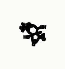 C=C(C)C1(O)C2OC(=O)C1C1(O)C3OC3C3(CO3)C1(C)C2O